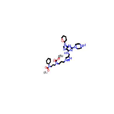 CC(C)(C)OC(=O)N(CCCN(C(=O)OC(C)(C)C)C1CCCCC1)CCCn1cc(CNc2nc(N3CCNCC3)nc3c2ncn3C2CCCCO2)nn1